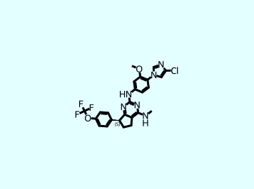 CNc1nc(Nc2ccc(-n3cnc(Cl)c3)c(OC)c2)nc2c1CC[C@H]2c1ccc(OC(F)(F)F)cc1